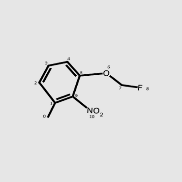 Cc1cccc(OCF)c1[N+](=O)[O-]